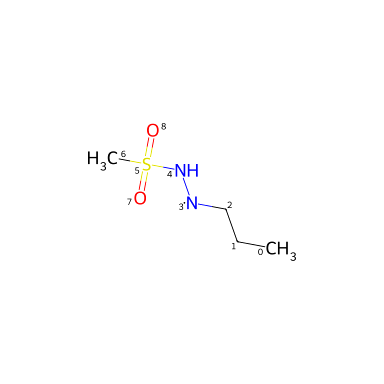 CCC[N]NS(C)(=O)=O